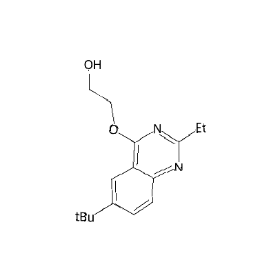 CCc1nc(OCCO)c2cc(C(C)(C)C)ccc2n1